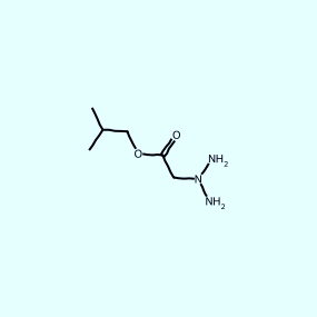 CC(C)COC(=O)CN(N)N